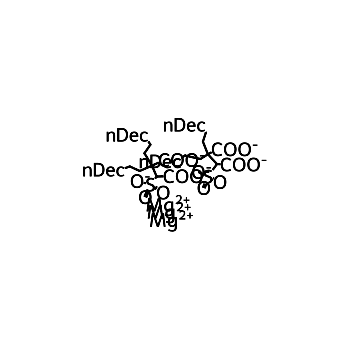 CCCCCCCCCCCCC(CCCCCCCCCCCC)(C(=O)[O-])C(C(=O)[O-])S(=O)(=O)[O-].CCCCCCCCCCCCC(CCCCCCCCCCCC)(C(=O)[O-])C(C(=O)[O-])S(=O)(=O)[O-].[Mg+2].[Mg+2].[Mg+2]